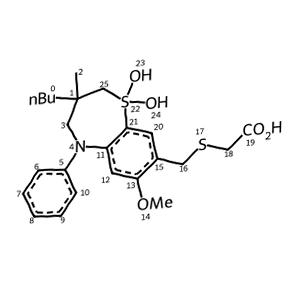 CCCCC1(C)CN(c2ccccc2)c2cc(OC)c(CSCC(=O)O)cc2S(O)(O)C1